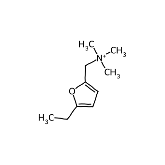 CCc1ccc(C[N+](C)(C)C)o1